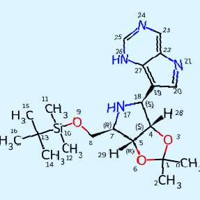 CC1(C)O[C@@H]2[C@H](O1)[C@@H](CO[Si](C)(C)C(C)(C)C)N[C@H]2c1cnc2cnc[nH]c1-2